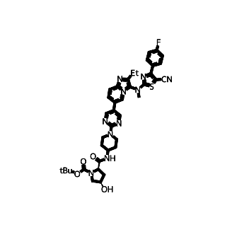 CCc1nc2ccc(-c3cnc(N4CCC(NC(=O)[C@H]5C[C@H](O)CN5C(=O)OC(C)(C)C)CC4)nc3)cn2c1N(C)c1nc(-c2ccc(F)cc2)c(C#N)s1